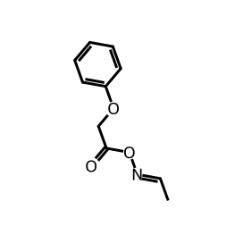 C/C=N/OC(=O)COc1ccccc1